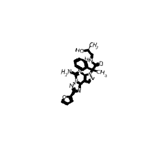 C[C@@H](O)CNC(=O)C(C)(c1ccccc1)n1ncc2c1nc(N)n1nc(-c3ccco3)nc21